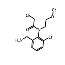 CCOCCN(C(=O)CCl)c1c(CC)cccc1CN